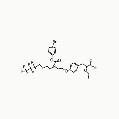 CCOC(Cc1ccc(OCCN(CCCCC(F)(F)C(F)(F)C(F)(F)F)C(=O)Oc2ccc(Br)cc2)cc1)C(=O)O